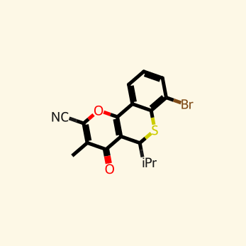 Cc1c(C#N)oc2c(c1=O)C(C(C)C)Sc1c(Br)cccc1-2